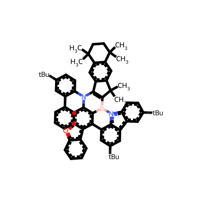 CC(C)(C)c1ccc(N2C3=C(B4c5c2cc2oc6ccccc6c2c5-c2cc(C(C)(C)C)cc5c6cc(C(C)(C)C)ccc6n4c25)C(C)(C)c2cc4c(cc23)C(C)(C)CCC4(C)C)c(-c2ccccc2)c1